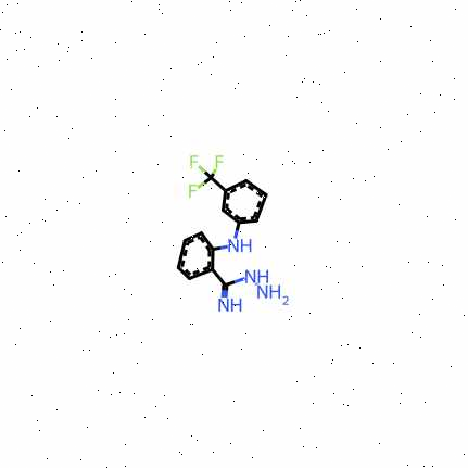 N=C(NN)c1ccccc1Nc1cccc(C(F)(F)F)c1